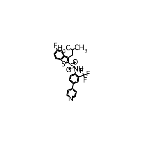 CC(C)Cc1c(S(=O)(=O)Nc2ccc(-c3ccncc3)cc2C(F)(F)F)sc2ccc(F)cc12